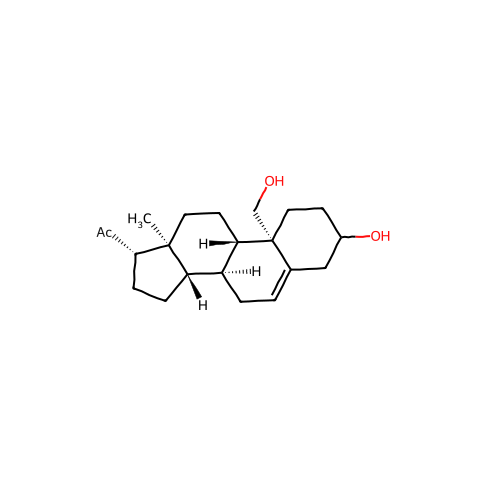 CC(=O)[C@H]1CC[C@H]2[C@@H]3CC=C4CC(O)CC[C@]4(CO)[C@H]3CC[C@]12C